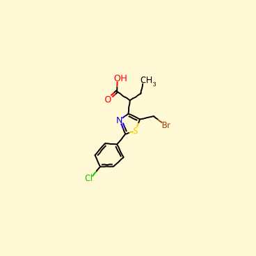 CCC(C(=O)O)c1nc(-c2ccc(Cl)cc2)sc1CBr